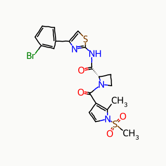 Cc1c(C(=O)N2CC[C@H]2C(=O)Nc2nc(-c3cccc(Br)c3)cs2)ccn1S(C)(=O)=O